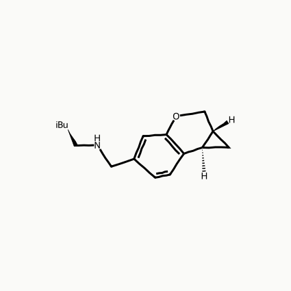 CC[C@H](C)CNCc1ccc2c(c1)OC[C@@H]1C[C@@H]21